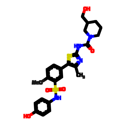 COc1ccc(-c2sc(NC(=O)N3CCCC(CO)C3)nc2C)cc1S(=O)(=O)Nc1ccc(O)cc1